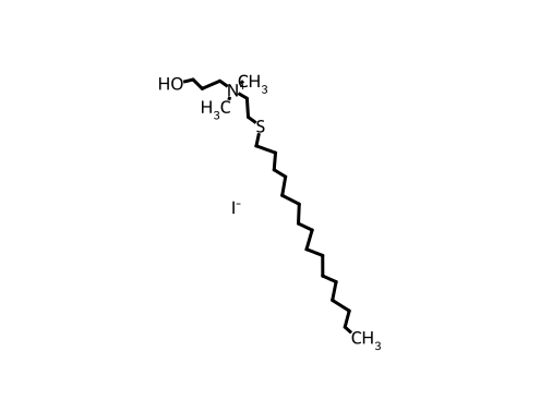 CCCCCCCCCCCCCCCCSCC[N+](C)(C)CCCO.[I-]